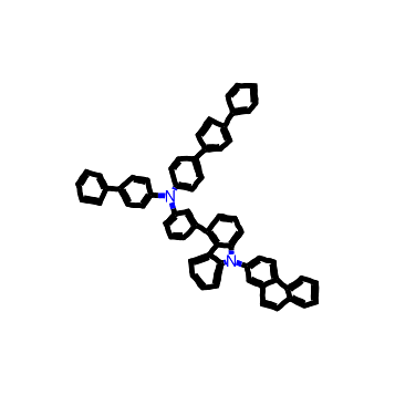 c1ccc(-c2ccc(-c3ccc(N(c4ccc(-c5ccccc5)cc4)c4cccc(-c5cccc6c5c5ccccc5n6-c5ccc6c(ccc7ccccc76)c5)c4)cc3)cc2)cc1